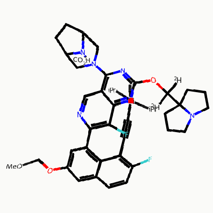 [2H]C([2H])(Oc1nc(N2CC3CCC(C2)N3C(=O)O)c2cnc(-c3cc(OCOC)cc4ccc(F)c(C#C[Si](C(C)C)(C(C)C)C(C)C)c34)c(F)c2n1)C12CCCN1CCC2